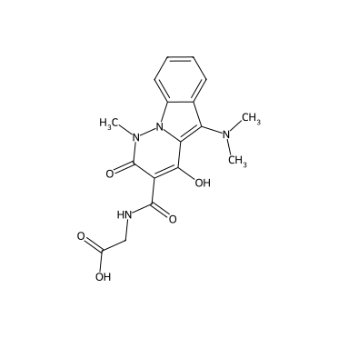 CN(C)c1c2ccccc2n2c1c(O)c(C(=O)NCC(=O)O)c(=O)n2C